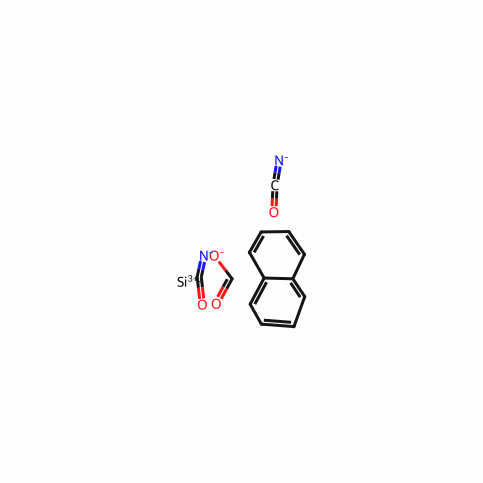 O=C[O-].[N-]=C=O.[N-]=C=O.[Si+3].c1ccc2ccccc2c1